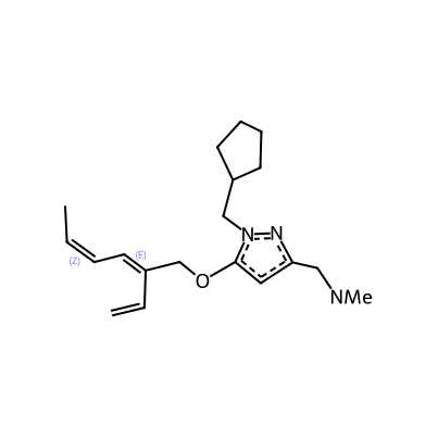 C=C/C(=C\C=C/C)COc1cc(CNC)nn1CC1CCCC1